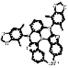 Cc1cc2c(c(C)c1N1c3cccc4c3B(c3c1oc1ccc(C(C)(C)C)cc31)c1c(oc3ccc(C(C)(C)C)cc13)N4c1c(C)cc3c(c1C)OCO3)OCO2